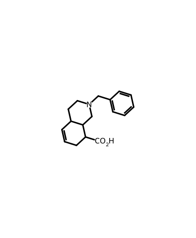 O=C(O)C1CC=CC2CCN(Cc3ccccc3)CC21